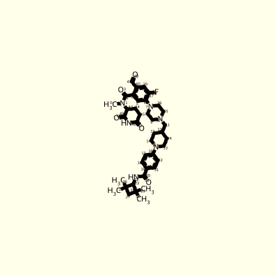 CN(C(=O)c1cc(N2CCN(CC3CCN(c4ccc(C(=O)NC5C(C)(C)CC5(C)C)cc4)CC3)CC2)c(F)cc1C=O)C1CCC(=O)NC1=O